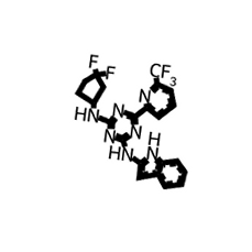 FC1(F)CCC(Nc2nc(Nc3cc4ccccc4[nH]3)nc(-c3cccc(C(F)(F)F)n3)n2)C1